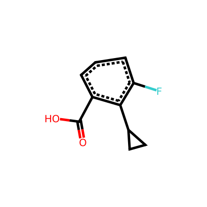 O=C(O)c1cccc(F)c1C1CC1